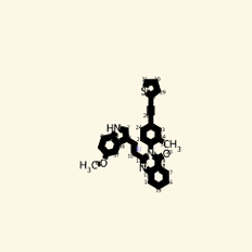 COc1ccc2[nH]cc(/C=C/c3nc4ccccc4c(=O)n3-c3ccc(C#Cc4cccs4)cc3C)c2c1